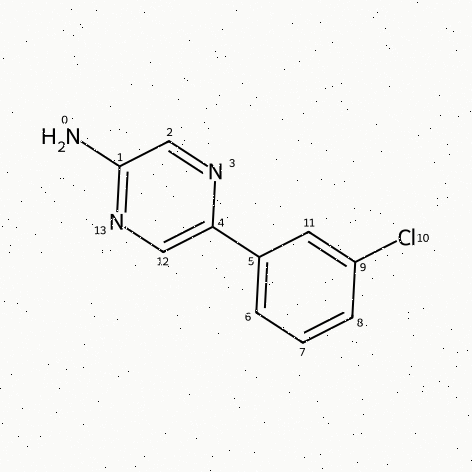 Nc1cnc(-c2cccc(Cl)c2)cn1